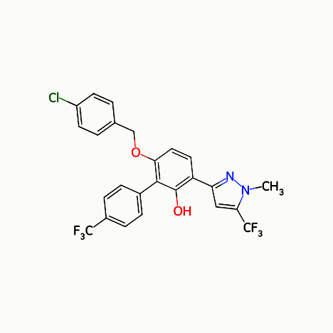 Cn1nc(-c2ccc(OCc3ccc(Cl)cc3)c(-c3ccc(C(F)(F)F)cc3)c2O)cc1C(F)(F)F